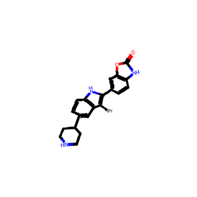 CC(C)c1c(-c2ccc3[nH]c(=O)oc3c2)[nH]c2ccc(C3CCNCC3)cc12